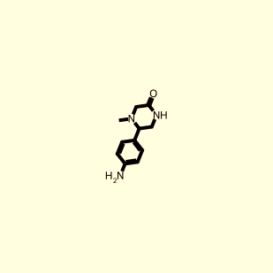 CN1CC(=O)NCC1c1ccc(N)cc1